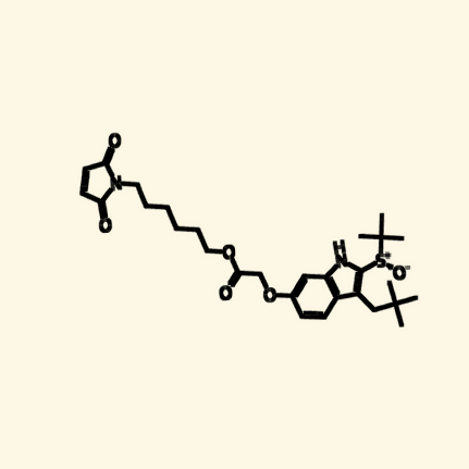 CC(C)(C)Cc1c([S@+]([O-])C(C)(C)C)[nH]c2cc(OCC(=O)OCCCCCCN3C(=O)C=CC3=O)ccc12